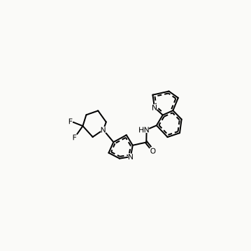 O=C(Nc1cccc2cccnc12)c1cc(N2CCCC(F)(F)C2)ccn1